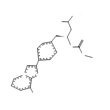 Cc1cccn2cc(-c3ccc(C[C@@H](CC(C(=O)O)C(C)(C)C)NC(=O)OC(C)(C)C)cc3)nc12